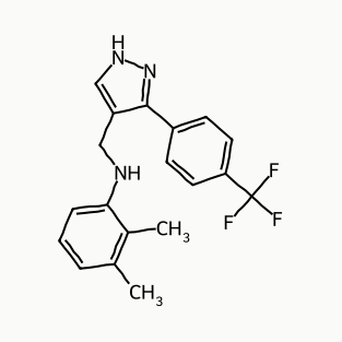 Cc1cccc(NCc2c[nH]nc2-c2ccc(C(F)(F)F)cc2)c1C